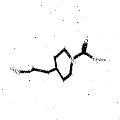 CCCCCCC(=O)N1CCC(CCO)CC1